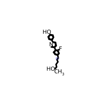 CC(O)CCC/C=C/c1ccc(-c2ccc(-c3ccc(O)cc3)nc2)c(F)c1